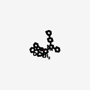 CC1(c2ccc(-c3nc(-c4ccccc4)cc(-c4ccc(-c5ccccc5)cc4)n3)cc2)C=CC2=C(C1)C1(c3ccccc3-c3ccccc31)C1CC=CC=C1O2